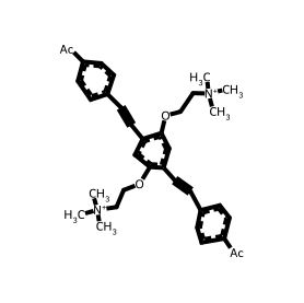 CC(=O)c1ccc(C#Cc2cc(OCC[N+](C)(C)C)c(C#Cc3ccc(C(C)=O)cc3)cc2OCC[N+](C)(C)C)cc1